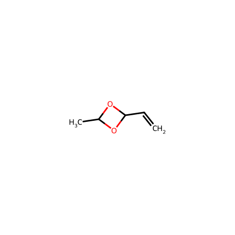 C=CC1OC(C)O1